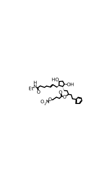 CCNC(=O)CCCC=CC[C@@H]1[C@@H](CCC(CCc2ccccc2)OC(=O)CCCO[N+](=O)[O-])[C@H](O)C[C@@H]1O